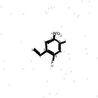 C=Cc1cc([N+](=O)[O-])c(C)cc1F